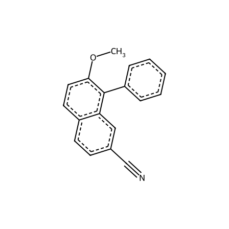 COc1ccc2ccc(C#N)cc2c1-c1ccccc1